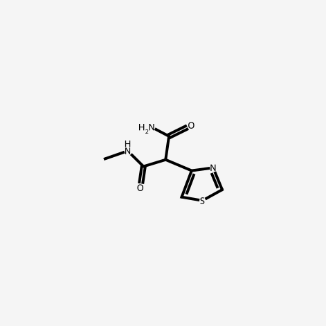 CNC(=O)C(C(N)=O)c1cscn1